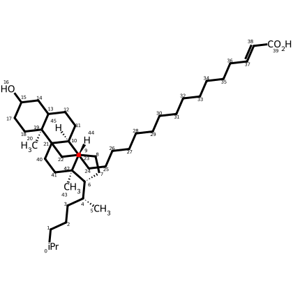 CC(C)CCC[C@@H](C)[C@H]1CC[C@H]2[C@@H]3CCC4CC(O)CC[C@]4(C)C3(CCCCCCCCCCCCCCCC=CC(=O)O)CC[C@]12C